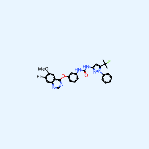 CCc1cc2ncnc(Oc3cccc(NC(=O)Nc4cc(C(C)(C)F)n(-c5ccccc5)n4)c3)c2cc1OC